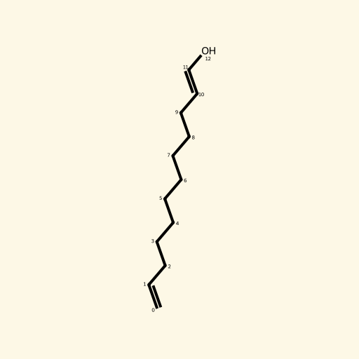 C=CCCCCCCCCC=CO